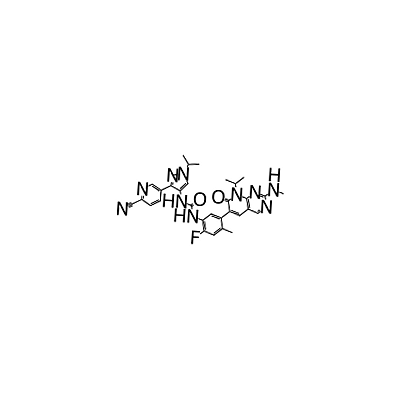 CNc1ncc2cc(-c3cc(NC(=O)Nc4cn(C(C)C)nc4-c4ccc(C#N)nc4)c(F)cc3C)c(=O)n(C(C)C)c2n1